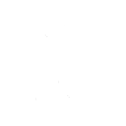 C\C=C/C(=C\C=C\N(c1ccccc1)c1ccc(-c2ccccc2)cc1)C(=CCC)/C=C\Cc1ccc(N(c2ccccc2)c2ccc(-c3cccc4ccccc34)cc2)cc1